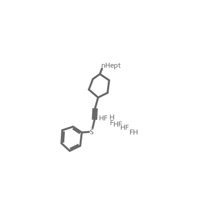 CCCCCCCC1CCC(C#CSc2ccccc2)CC1.F.F.F.F.F